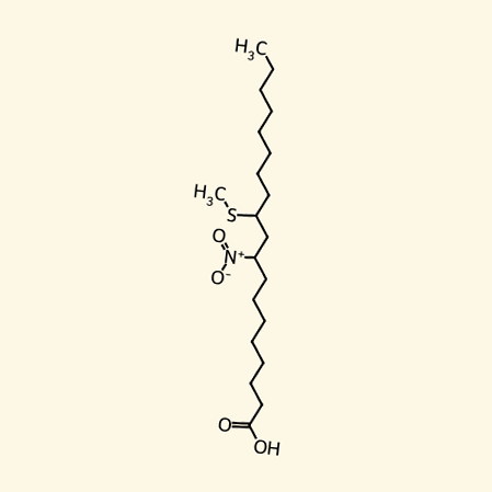 CCCCCCCCC(CC(CCCCCCCC(=O)O)[N+](=O)[O-])SC